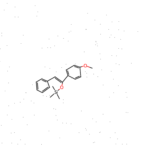 COc1ccc(C(=Cc2ccccc2)O[Si](C)(C)C)cc1